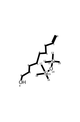 C=CCCCCCCCO.C[Si](C)(C)O[Si](C)(C)C